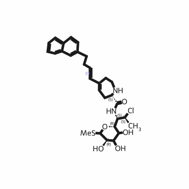 CSC1O[C@H]([C@H](NC(=O)[C@@H]2CC=C(/C=C/CCc3ccc4ccccc4c3)CCN2)[C@H](C)Cl)C(O)C(O)[C@H]1O